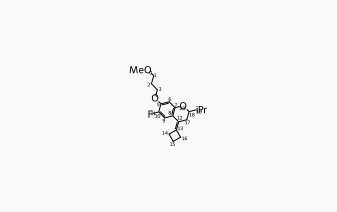 COCCCOc1cc2c(cc1F)C(=C1CCC1)CC(C(C)C)O2